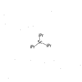 C[CH](C)[Sc]([CH](C)C)[CH](C)C